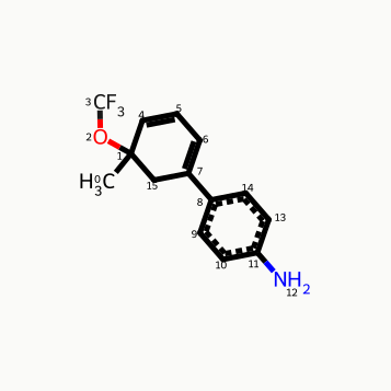 CC1(OC(F)(F)F)C=CC=C(c2ccc(N)cc2)C1